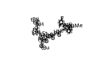 CCC(C)(NCC(=O)C(C)(CC)NC(COC(=O)NCCC(=O)NCCC[C@@]1(c2ccccc2)SC(c2cc(F)ccc2F)=NN1C(=O)N(C)OC)C(=O)NC(C)(C)CCOC(C)(C)C)C(=O)CCNC(=O)CC(C)(C)C